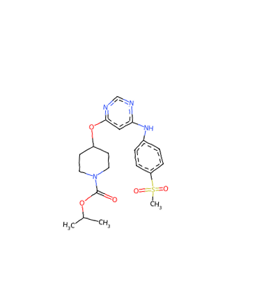 CC(C)OC(=O)N1CCC(Oc2cc(Nc3ccc(S(C)(=O)=O)cc3)ncn2)CC1